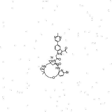 CC(=O)c1nn(CC(=O)N2[C@H]3CC4(CNC(=O)C(C)(C)CCCOCc5ccc(Br)nc5NC3=O)C[C@@H]24)c2ccc(-c3cnc(C)nc3)cc12